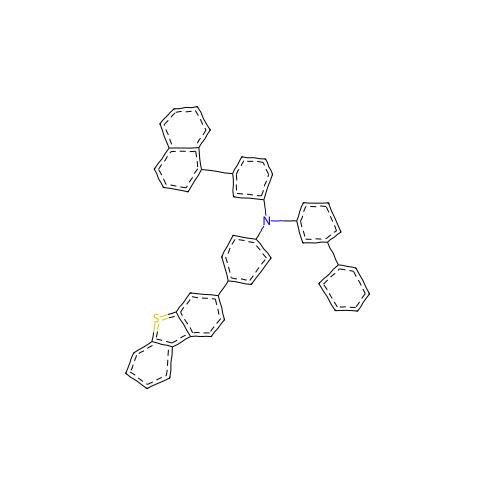 c1ccc(-c2cccc(N(c3ccc(-c4ccc5c(c4)sc4ccccc45)cc3)c3cccc(-c4cccc5ccccc45)c3)c2)cc1